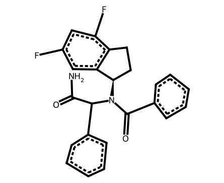 NC(=O)C(c1ccccc1)N(C(=O)c1ccccc1)[C@@H]1CCc2c(F)cc(F)cc21